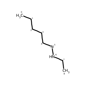 CCCCC[N]NCC